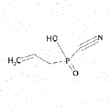 C=CCP(=O)(O)C#N